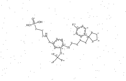 O=P(O)(O)CCCNCc1ccc(SCCCCC2(c3ccc(F)cc3)CCCC2)c(OC(F)(F)F)c1